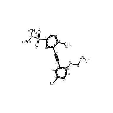 CCCN(C)S(=O)(=O)c1ccc(C)c(C#Cc2cc(Cl)ccc2OCC(=O)O)c1